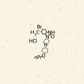 CCCOC1CCC(N2CCC(n3c(=O)[nH]c4cc(Br)c(C)cc43)CC2)CC1.Cl